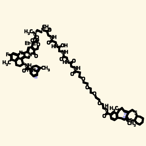 CC[C@]1(OC(=O)N(C)CCN(C)C(=O)CNC(=O)CNC(O)CNC(=O)CNC(=O)CNC(=O)CCOCCOCCOCCOCCNC(=O)c2ccc3c(c2)C(C)C/C=C2\CSC4CCCCCC4SC\C2=C(\C)CC3)C(=O)OCc2c1cc1n(c2=O)Cc2c-1nc1cc(F)c(C)c3c1c2[C@H](NC(=O)/C1=C/C=C\C(N)=C(/C)CC1)CC3